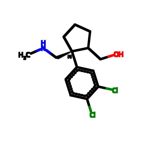 CNC[C@]1(c2ccc(Cl)c(Cl)c2)CCCC1CO